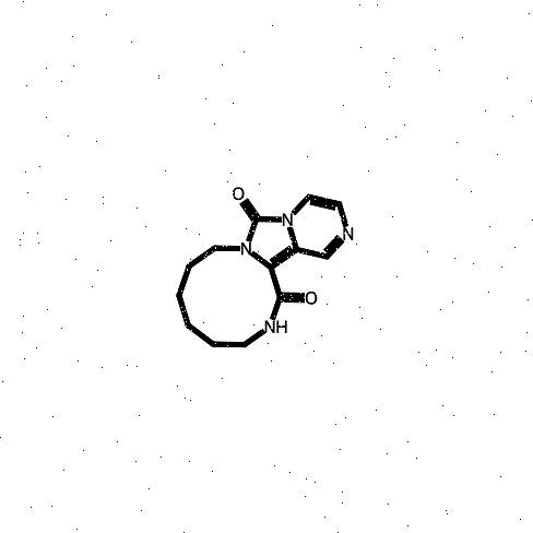 O=C1NCCCCCCn2c1c1cnccn1c2=O